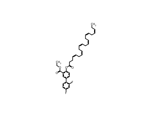 CC/C=C\C/C=C\C/C=C\C/C=C\C/C=C\C/C=C\CCC(=O)Oc1ccc(-c2ccc(F)cc2F)cc1C(=O)OCC